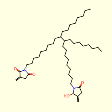 C=C1CC(=O)N(CCCCCCCCCC(CCCCCCCC)C(CCCCCCCC)CCCCCCCCCN2C(=O)CC(=C)C2O)C1=O